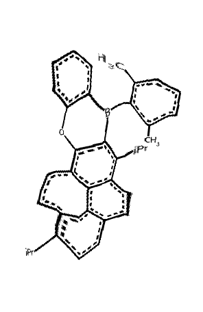 Cc1cccc(C)c1B1c2ccccc2Oc2c1c(C(C)C)c1ccc3ccc(C(C)C)c4ccc2c1c34